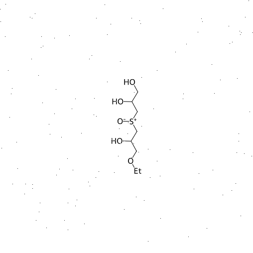 CCOCC(O)C[S+]([O-])CC(O)CO